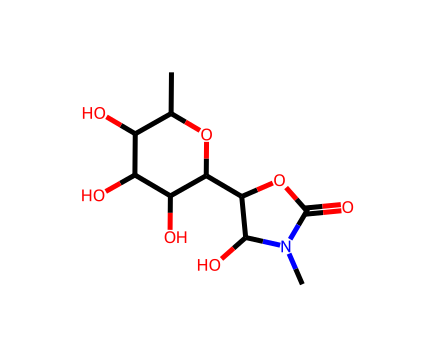 CC1OC(C2OC(=O)N(C)C2O)C(O)C(O)C1O